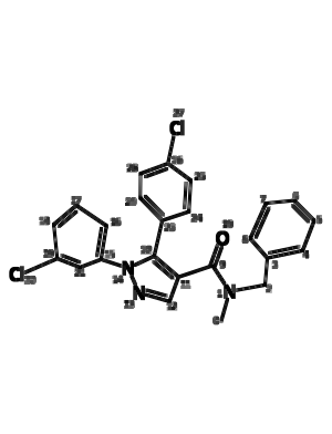 CN(Cc1ccccc1)C(=O)c1cnn(-c2cccc(Cl)c2)c1-c1ccc(Cl)cc1